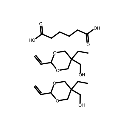 C=CC1OCC(CC)(CO)CO1.C=CC1OCC(CC)(CO)CO1.O=C(O)CCCCC(=O)O